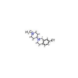 CCc1ccc2c(c1)CN(C1CCN(C)CC1)CC2